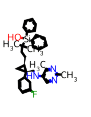 Cc1ncc(NC[C@@]2(C3C=CC=C(F)C3)C[C@H]2CCC(C)(C)[Si](O)(c2ccccc2)c2ccccc2)c(C)n1